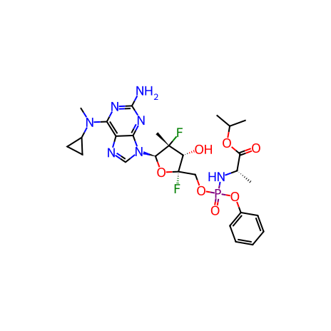 CC(C)OC(=O)[C@H](C)NP(=O)(OC[C@@]1(F)O[C@@H](n2cnc3c(N(C)C4CC4)nc(N)nc32)[C@](C)(F)[C@@H]1O)Oc1ccccc1